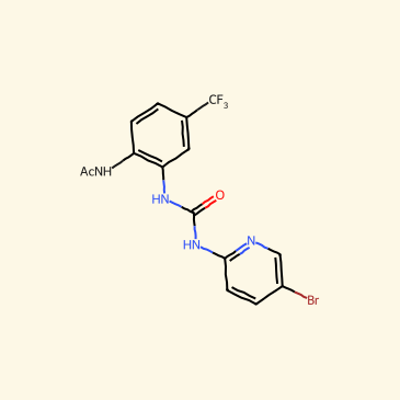 CC(=O)Nc1ccc(C(F)(F)F)cc1NC(=O)Nc1ccc(Br)cn1